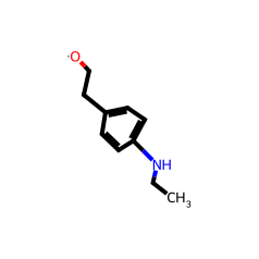 CCNc1ccc(CC[O])cc1